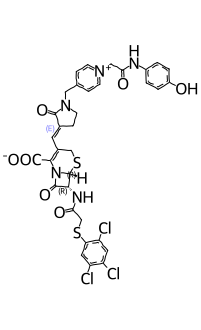 O=C(C[n+]1ccc(CN2CC/C(=C\C3=C(C(=O)[O-])N4C(=O)[C@@H](NC(=O)CSc5cc(Cl)c(Cl)cc5Cl)[C@H]4SC3)C2=O)cc1)Nc1ccc(O)cc1